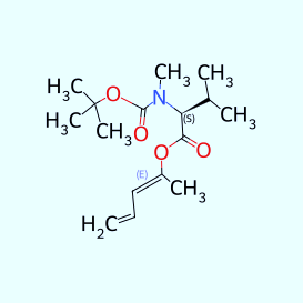 C=C/C=C(\C)OC(=O)[C@H](C(C)C)N(C)C(=O)OC(C)(C)C